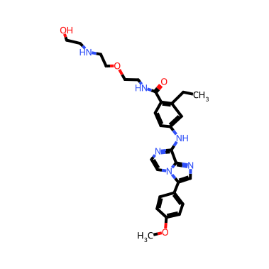 CCc1cc(Nc2nccn3c(-c4ccc(OC)cc4)cnc23)ccc1C(=O)NCCOCCNCCO